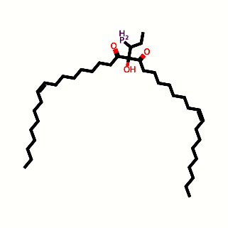 CCCCCCCC/C=C\CCCCCCCC(=O)C(O)(C(=O)CCCCCCC/C=C\CCCCCCCC)C(P)CC